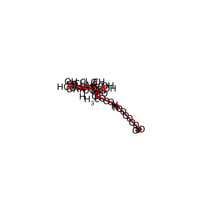 COc1ccc2c(OS(=O)(=O)Oc3cc(C(=O)N(C)CCOCCOCCOCCn4cc(COCCOCCOCCOCCOCCOCCN5C(=O)C=CC5=O)nn4)ccc3O[C@@H]3O[C@H](CO)[C@H](O)[C@H](O)[C@H]3O)cc3c(c2c1)[C@H](CCl)CN3C(=O)c1cc2cc(/C(C)=N/OC3OC(CO)[C@H](O)[C@H](O)[C@H]3O)ccc2[nH]1